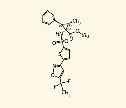 C[C@@H]1[C@H](c2ccccc2)[C@]1(NS(=O)(=O)c1ccc(-c2cc(C(C)(F)F)on2)s1)C(=O)OC(C)(C)C